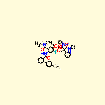 CCNC(=O)C(COC(=O)Oc1cc(C(=O)N(C)C)c(NC(=O)c2ccccc2-c2ccc(C(F)(F)F)cc2)cc1F)(C(=O)NCC)c1ccccc1